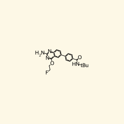 CC(C)(C)NC(=O)c1ccc(-c2ccc3nc(N)nc(OCCF)c3c2)cc1